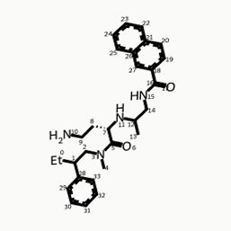 CCC(CN(C)C(=O)[C@H](CCN)NC(C)CNC(=O)c1ccc2ccccc2c1)c1ccccc1